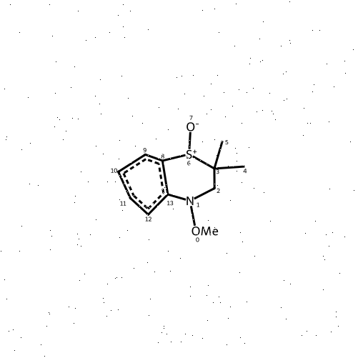 [CH2]ON1CC(C)(C)[S+]([O-])c2ccccc21